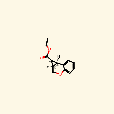 CCOC(=O)[C@@H]1[C@@H]2COc3ccccc3[C@@H]21